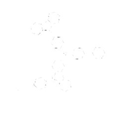 CC1(C)CCC(C)(C)c2cc(-n3c4ccccc4c4cc(N(c5ccc(-c6ccccc6)cc5)c5ccc(-n6c7ccccc7c7ccccc76)cc5)ccc43)ccc21